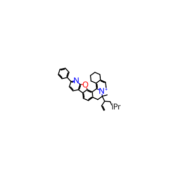 C=CC(CC(C)C)C1(C)Cc2ccc3c(oc4nc(-c5ccccc5)ccc43)c2-c2c3c(cc[n+]21)CCCC3